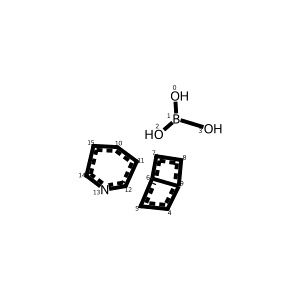 OB(O)O.c1cc2ccc1-2.c1ccncc1